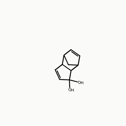 OC1(O)C=CC2C3C=CC(C3)C21